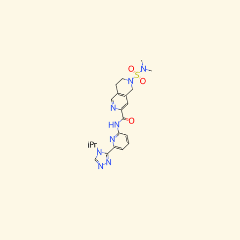 CC(C)n1cnnc1-c1cccc(NC(=O)c2cc3c(cn2)CCN(S(=O)(=O)N(C)C)C3)n1